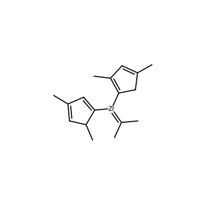 CC1=CC(C)[C]([Zr]([C]2=C(C)C=C(C)C2)=[C](C)C)=C1